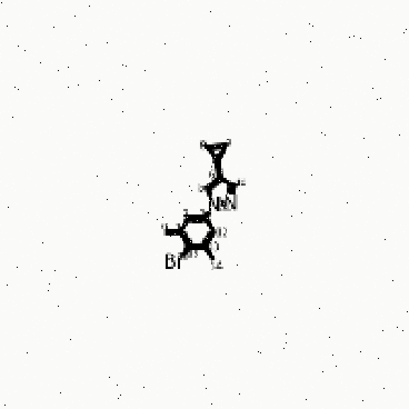 Cc1cc(-n2cc(C3CC3)cn2)cc(C)c1Br